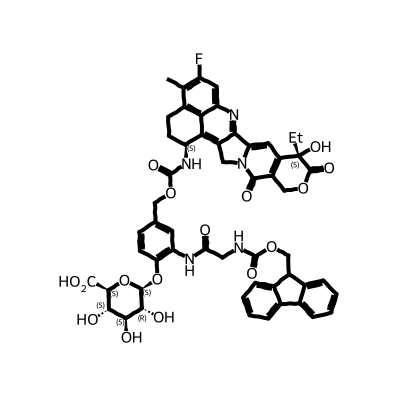 CC[C@@]1(O)C(=O)OCc2c1cc1n(c2=O)Cc2c-1nc1cc(F)c(C)c3c1c2[C@@H](NC(=O)OCc1ccc(O[C@@H]2O[C@H](C(=O)O)[C@@H](O)[C@H](O)[C@H]2O)c(NC(=O)CNC(=O)OCC2c4ccccc4-c4ccccc42)c1)CC3